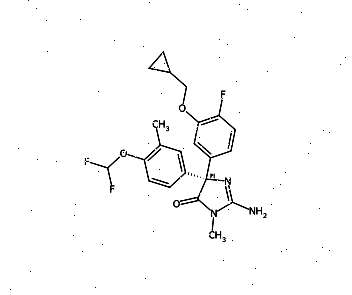 Cc1cc([C@]2(c3ccc(F)c(OCC4CC4)c3)N=C(N)N(C)C2=O)ccc1OC(F)F